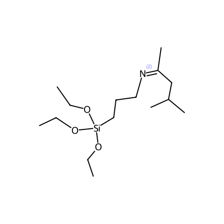 CCO[Si](CCC/N=C(/C)CC(C)C)(OCC)OCC